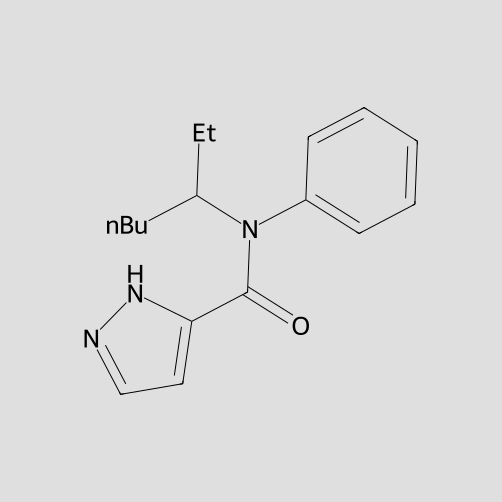 CCCCC(CC)N(C(=O)c1ccn[nH]1)c1ccccc1